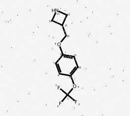 FC(F)(F)Oc1ccc(OCC2CNC2)cc1